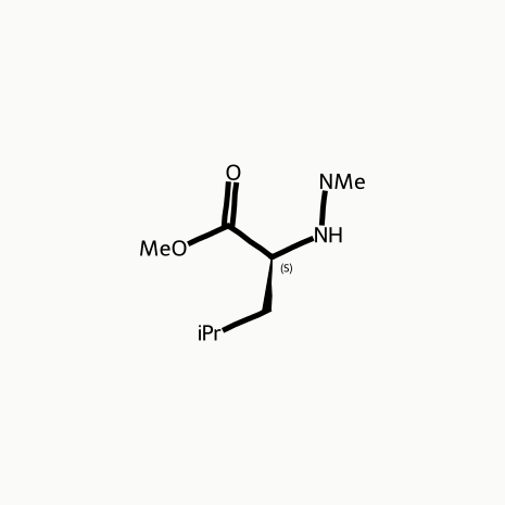 CNN[C@@H](CC(C)C)C(=O)OC